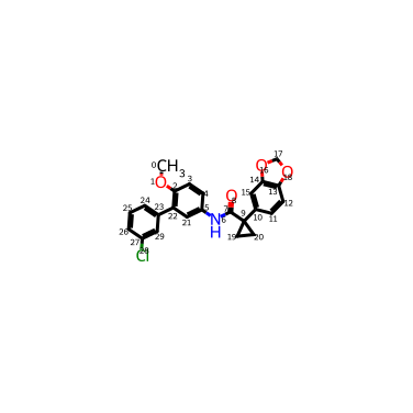 COc1ccc(NC(=O)C2(c3ccc4c(c3)OCO4)CC2)cc1-c1cccc(Cl)c1